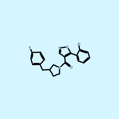 O=C(c1cnoc1-c1ccccc1Cl)N1CCC(Cc2ccc(F)cc2)C1